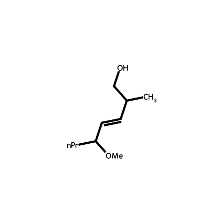 CCCC(C=CC(C)CO)OC